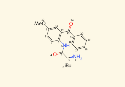 CC[C@H](C)[C@H](N)C(=O)Nc1ccc(OC)cc1C(=O)c1ccccc1